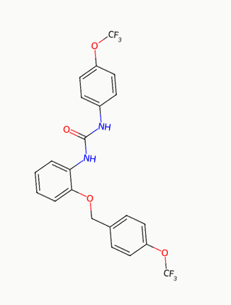 O=C(Nc1ccc(OC(F)(F)F)cc1)Nc1ccccc1OCc1ccc(OC(F)(F)F)cc1